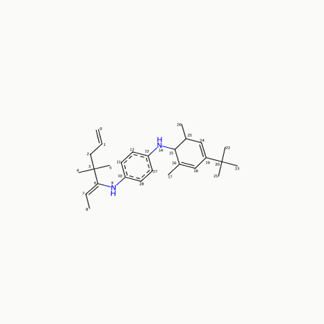 C=CCC(C)(C)/C(=C/C)Nc1ccc(NC2C(C)=CC(C(C)(C)C)=CC2C)cc1